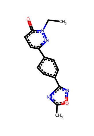 CCn1nc(-c2ccc(-c3noc(C)n3)cc2)ccc1=O